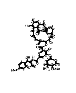 COc1ccc2c(O)c(NC(=O)c3cc(OC4CC(C)([N+](=O)[O-])C(OC)C(C)O4)c(O)c(C(=O)OC4C(C)/C=C(/C)C(=O)c5c(O)c(C)cc6c5C(=O)C5=C(NCC(C)(O5)C(=O)C4O)C6=O)n3)c(=O)oc2c1